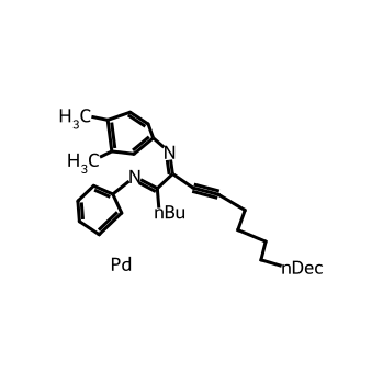 CCCCCCCCCCCCCCC#CC(=Nc1ccc(C)c(C)c1)C(CCCC)=Nc1ccccc1.[Pd]